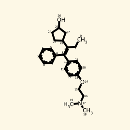 CCC(=C(c1ccccc1)c1ccc(OCCN(C)C)cc1)C1CCC(O)C1